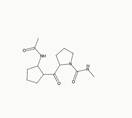 CNC(=O)N1CCCC1C(=O)C1CCCC1NC(C)=O